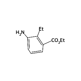 CCOC(=O)c1cccc(N)c1CC